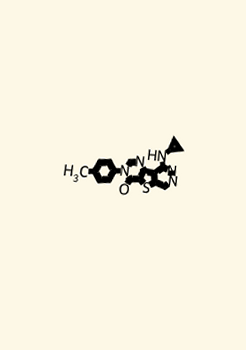 Cc1ccc(-n2cnc3c(sc4cnnc(NC5CC5)c43)c2=O)cc1